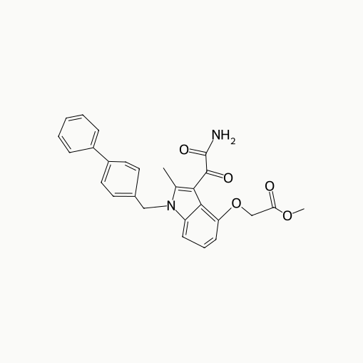 COC(=O)COc1cccc2c1c(C(=O)C(N)=O)c(C)n2Cc1ccc(-c2ccccc2)cc1